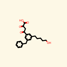 O=C(O)C(=O)CC(=O)c1cc(CCCCCO)cc(Cc2ccccc2)c1